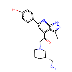 Cc1n[nH]c2nc(-c3ccc(O)cc3)cc(C(=O)CN3CCC[C@@H](CN)C3)c12